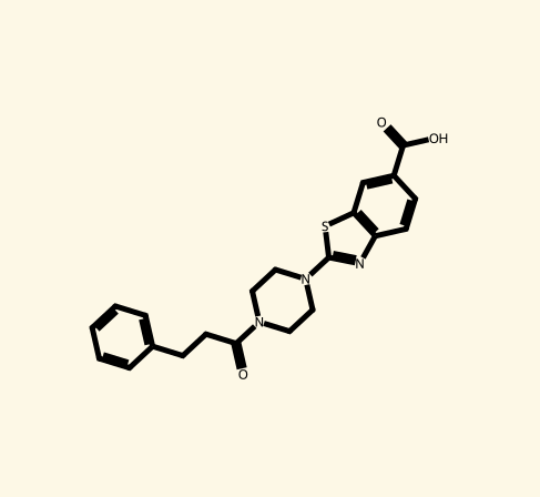 O=C(O)c1ccc2nc(N3CCN(C(=O)CCc4ccccc4)CC3)sc2c1